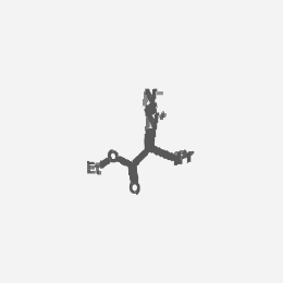 CCOC(=O)C(=[N+]=[N-])C(C)C